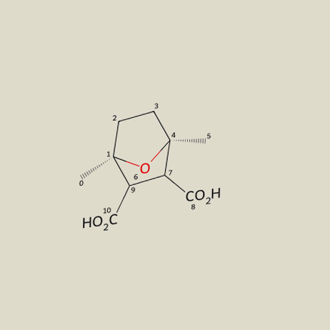 C[C@]12CC[C@](C)(O1)C(C(=O)O)C2C(=O)O